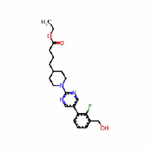 CCOC(=O)CCCC1CCN(c2ncc(-c3cccc(CO)c3F)cn2)CC1